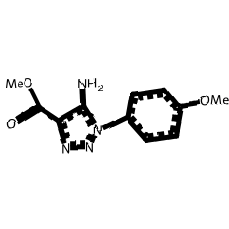 COC(=O)c1nnn(-c2ccc(OC)cc2)c1N